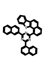 c1ccc2cc(-c3nc(-c4cccc5ccccc45)nc(-c4cccc5ccc6c7ccccc7sc6c45)n3)ccc2c1